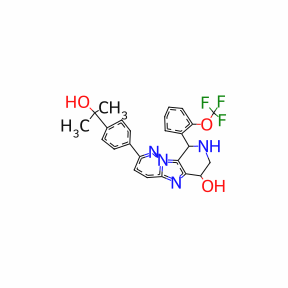 CC(C)(O)c1ccc(-c2ccc3nc4c(n3n2)C(c2ccccc2OC(F)(F)F)NCC4O)cc1